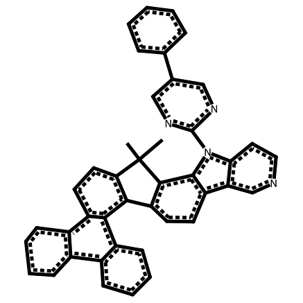 CC1(C)c2ccc3c4ccccc4c4ccccc4c3c2-c2ccc3c4cnccc4n(-c4ncc(-c5ccccc5)cn4)c3c21